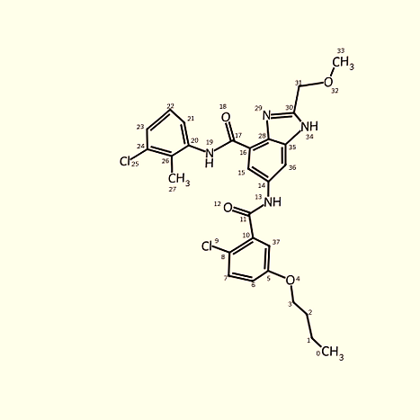 CCCCOc1ccc(Cl)c(C(=O)Nc2cc(C(=O)Nc3cccc(Cl)c3C)c3nc(COC)[nH]c3c2)c1